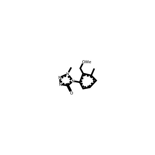 COCc1c(C)cccc1-n1c(=O)nnn1C